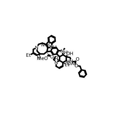 CCC1=C[C@@H]2CN(CCc3c([nH]c4ccccc34)[C@@](C(=O)OC)(c3cc4c(cc3OC)N(C)[C@H]3C(O)(CNC(=O)OCc5ccccc5)[C@H](OC(C)=O)[C@]5(CC)C=CCN6CC[C@]43[C@@H]65)C2)C1